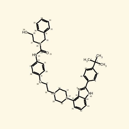 CC(C)(C)c1ccc(-c2nc3c(N4CCN(CCOc5ccc(NC(=O)N(CCO)Cc6ccccc6)cc5)CC4)cccc3[nH]2)cc1